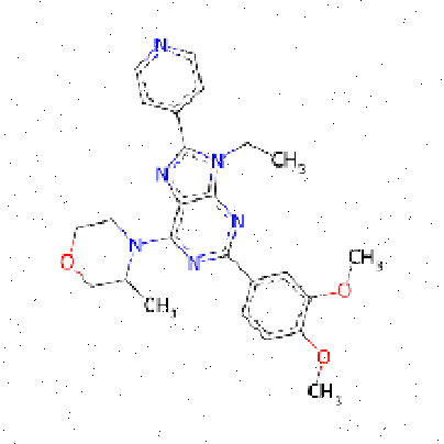 CCn1c(-c2ccncc2)nc2c(N3CCOCC3C)nc(-c3ccc(OC)c(OC)c3)nc21